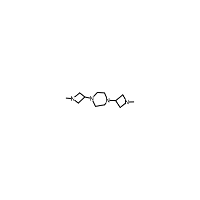 CN1CC(N2CCN(C3CN(C)C3)CC2)C1